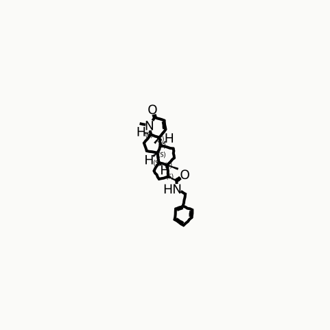 CN1C(=O)C=C[C@]2(C)[C@H]3CC[C@]4(C)[C@@H](C(=O)NCc5ccccc5)CC[C@H]4[C@@H]3CC[C@@H]12